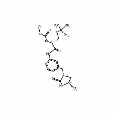 CC(C)(C)OC(=O)N[C@H](COC(C)(C)C(F)(F)F)C(=O)Nc1cc(CN2C[C@@H](C(F)(F)F)NC2=O)ccn1